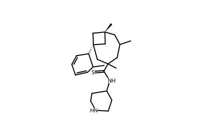 CC1CC(C)(C(=S)NC2CCNCC2)C[C@]2(C3C=CC=CC3C)C[C@@](C)(C1)C2